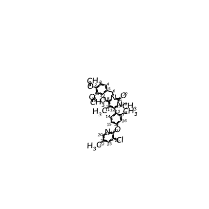 COc1ccc(Cn2c(=O)c(C)c(-c3ccc(Oc4ncc(C)cc4Cl)cc3C)n(C)c2=O)cc1OC